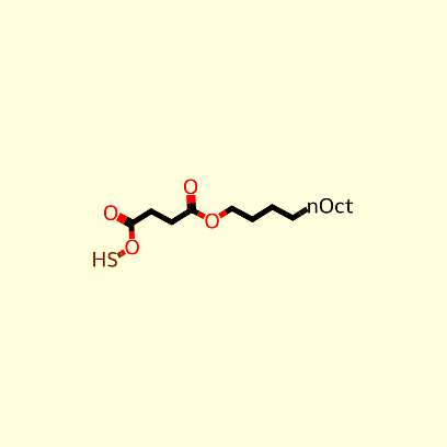 CCCCCCCCCCCCOC(=O)CCC(=O)OS